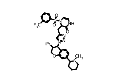 CC(C)C1COc2cc(C3CCCCN3C)ccc2C1n1cc(CC2C(=O)NC=CN2S(=O)(=O)c2cccc(C(F)(F)F)c2)nn1